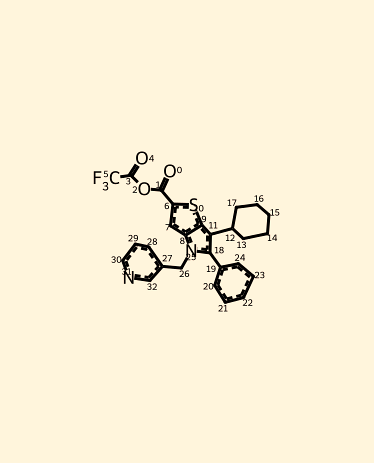 O=C(OC(=O)C(F)(F)F)c1cc2c(s1)c(C1CCCCC1)c(-c1ccccc1)n2Cc1cccnc1